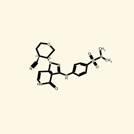 CN(C)S(=O)(=O)c1ccc(Nc2nn([C@H]3COCC[C@@H]3C#N)c3cc[nH]c(=O)c23)cc1